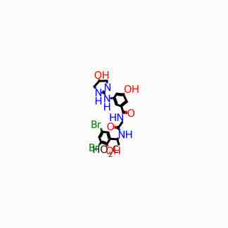 O=C(O)CC(NC(=O)CNC(=O)c1cc(O)cc(NC2=NCC(O)CN2)c1)c1cc(Br)cc(Br)c1O